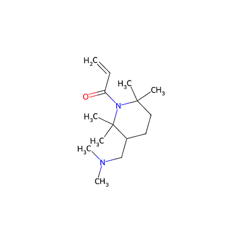 C=CC(=O)N1C(C)(C)CCC(CN(C)C)C1(C)C